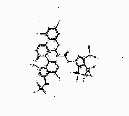 Cn1nc(NS(C)(=O)=O)c2c(Cl)ccc(-n3c(C(Cc4cc(F)cc(F)c4)NC(=O)Cn4cc(C(F)F)c5c4C(F)(F)[C@@H]4C[C@H]54)nccc3=O)c21